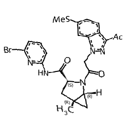 CSc1ccc2c(C(C)=O)nn(CC(=O)N3[C@H](C(=O)Nc4cccc(Br)n4)C[C@@]4(C)C[C@@H]34)c2c1